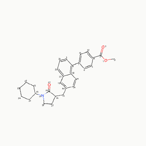 COC(=O)c1ccc(-c2cccc3cc(CC4CCN(C5CCCCC5)C4=O)ccc23)cc1